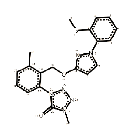 CSc1ccccc1-n1ccc(OCc2c(C)cccc2-n2nnn(C)c2=O)n1